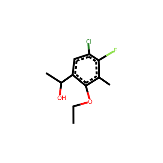 CCOc1c(C(C)O)cc(Cl)c(F)c1C